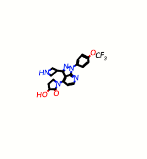 O=C1C(O)CCN1c1ccnc2c1c(C1CNC1)nn2-c1ccc(OC(F)(F)F)cc1